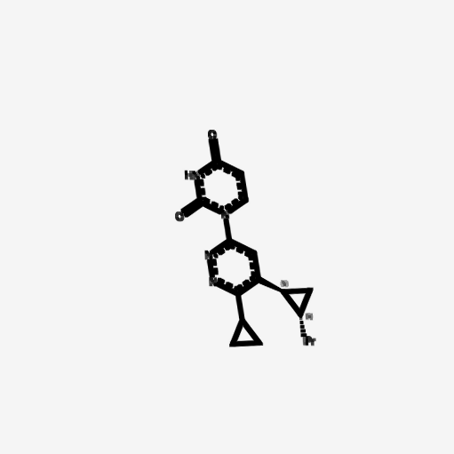 CC(C)[C@H]1C[C@@H]1c1cc(-n2ccc(=O)[nH]c2=O)nnc1C1CC1